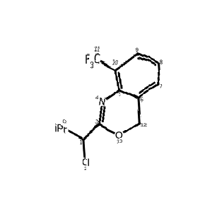 CC(C)C(Cl)C1=Nc2c(cccc2C(F)(F)F)CO1